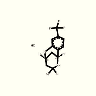 Cl.[2H]C1([2H])C[C@H]2C[C@@H](N1)c1ccc(C(F)(F)F)cc1O2